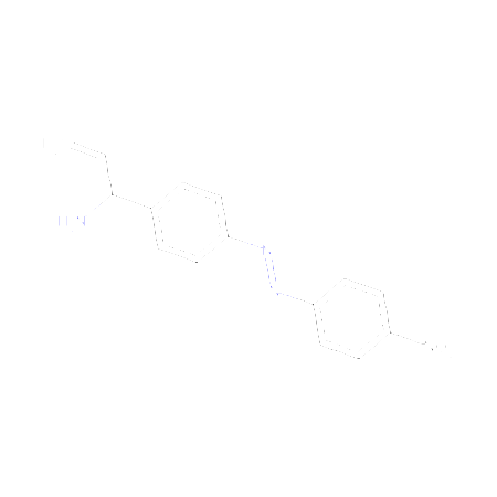 C=CC(N)c1ccc(N=Nc2ccc([N+](=O)[O-])cc2)cc1